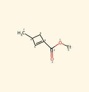 CCOC(=O)C1=CC(C)C1